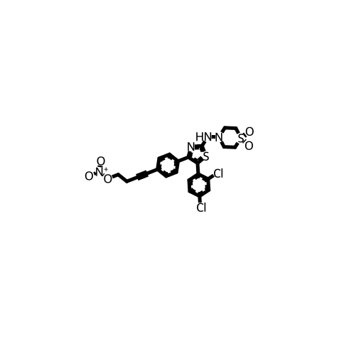 O=[N+]([O-])OCCC#Cc1ccc(-c2nc(NN3CCS(=O)(=O)CC3)sc2-c2ccc(Cl)cc2Cl)cc1